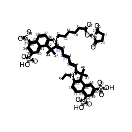 CC[N+]1=C(/C=C/C=C/C=C2/N(CCCCCC(=O)ON3C(=O)CCC3=O)c3ccc4c([SH](=O)=O)cc(S(=O)(=O)O)cc4c3C2(C)C)C(C)(C)c2c1ccc1c(S(=O)(=O)O)cc(S(=O)(=O)O)cc21